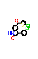 O=C(c1ccc2[nH]c(=O)cc(-c3cccc(Cl)c3)c2c1)c1ccc(Cl)s1